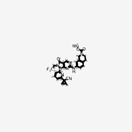 CC(C)(C)OC(=O)N1CCc2ccc(Nc3ncc4c(=O)n(CC(F)(F)F)n(-c5cccc(C6(C#N)CC6)n5)c4n3)cc2C1